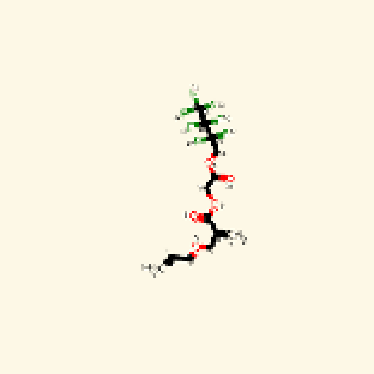 C=CCOCC(=C)C(=O)OCC(=O)OCC(F)(F)C(F)(F)C(F)(F)F